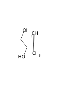 C#CC.OCCO